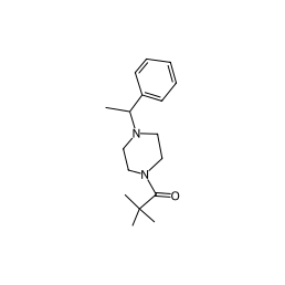 CC(c1ccccc1)N1CCN(C(=O)C(C)(C)C)CC1